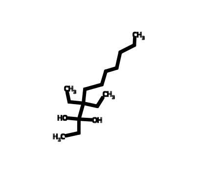 CCCCCCCC(CC)(CC)C(O)(O)CC